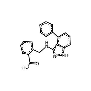 O=C(O)c1ccccc1CNc1n[nH]c2cccc(-c3ccccc3)c12